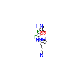 N#CCCCCCCC(c1cccc(I)c1)c1cnc(-c2cc(Oc3c(F)cc4[nH]ccc4c3C=O)ccc2F)[nH]1